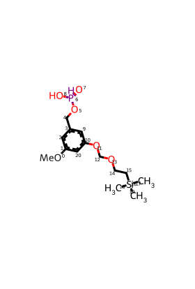 COc1cc(CO[PH](=O)O)cc(OCOCC[Si](C)(C)C)c1